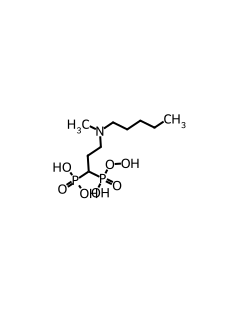 CCCCCN(C)CCC(P(=O)(O)O)P(=O)(O)OO